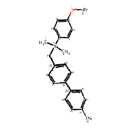 CCCOc1ccc([Si](C)(C)Cc2ccc(-c3ccc(C#N)cc3)cc2)cc1